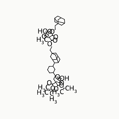 CC(C)OC(=O)C(CCC1CCCC(C2C3CC4CC2CC(CCOC(=O)C(C)(C(=O)OCCC25CC6CC(CC(C6)C2)C5)S(=O)(=O)O)(C4)C3)C1)(C(=O)OC(C)(C)C)S(=O)(=O)O